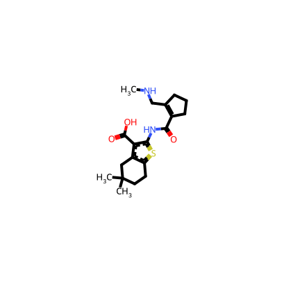 CNCC1=C(C(=O)Nc2sc3c(c2C(=O)O)CC(C)(C)CC3)CCC1